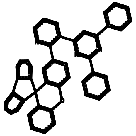 c1ccc(-c2cc(-c3cccnc3-c3ccc4c(c3)C3(c5ccccc5O4)c4ccccc4-c4ccccc43)nc(-c3ccccc3)n2)cc1